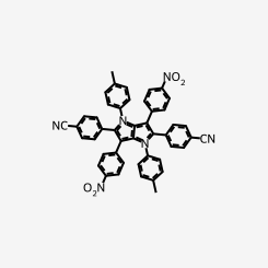 Cc1ccc(-n2c(-c3ccc(C#N)cc3)c(-c3ccc([N+](=O)[O-])cc3)c3c2c(-c2ccc([N+](=O)[O-])cc2)c(-c2ccc(C#N)cc2)n3-c2ccc(C)cc2)cc1